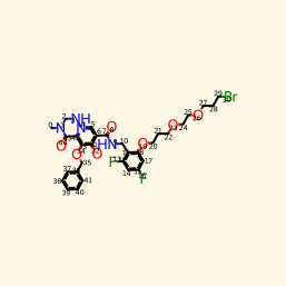 CN1CNn2cc(C(=O)NCc3c(F)cc(F)cc3OCCCOCCOCCCBr)c(=O)c(OCc3ccccc3)c2C1=O